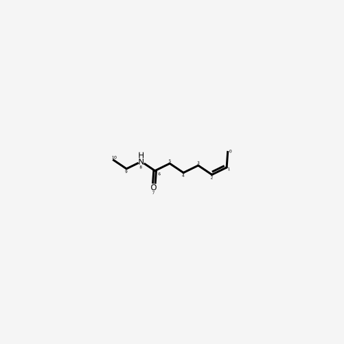 C/C=C\CCCC(=O)NCC